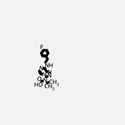 CC(C)N(C(=O)O)c1nnc2c(NCCc3ccc(F)cc3)nccn12